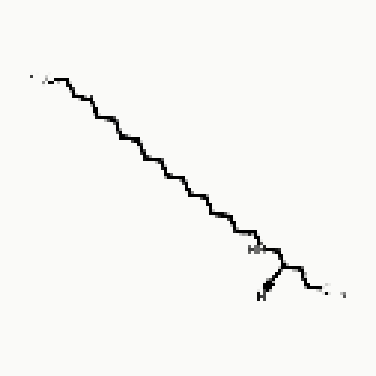 CCCCCCCCCCCCCCCCCCNCC(C#N)CCC